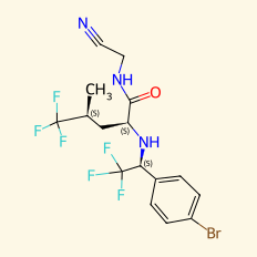 C[C@@H](C[C@H](N[C@@H](c1ccc(Br)cc1)C(F)(F)F)C(=O)NCC#N)C(F)(F)F